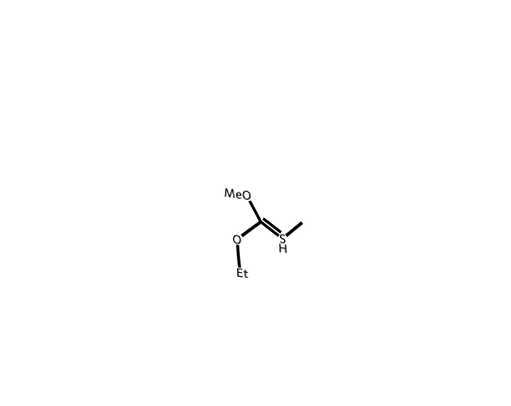 CCOC(OC)=[SH]C